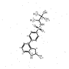 CC(NS(=O)(=O)c1ccc(-c2ccnc3c2CC(C(F)(F)F)N3)cc1)C(C)(C)O